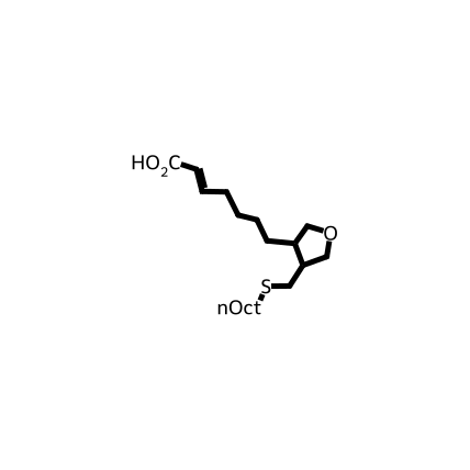 CCCCCCCCSCC1COCC1CCCCC=CC(=O)O